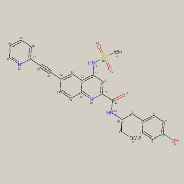 COC[C@H](Cc1ccc(O)cc1)NC(=O)c1cc(NS(=O)(=O)C(C)(C)C)c2cc(C#Cc3ccccn3)ccc2n1